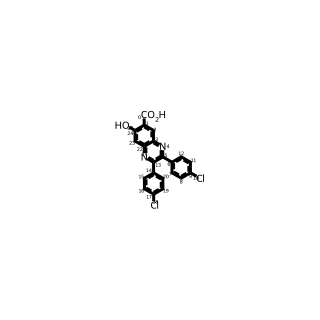 O=C(O)c1cc2nc(-c3ccc(Cl)cc3)c(-c3ccc(Cl)cc3)nc2cc1O